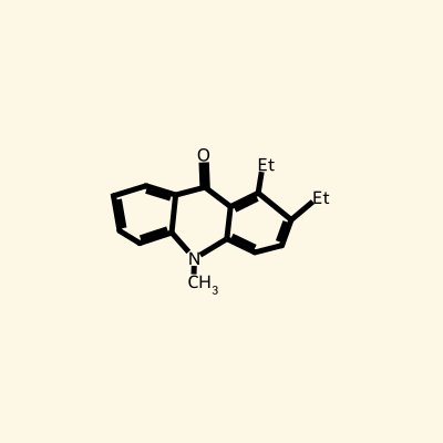 CCc1ccc2c(c1CC)c(=O)c1ccccc1n2C